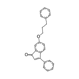 O=C1C=C(c2ccccc2)c2ccc(OCCCc3ccccc3)cc21